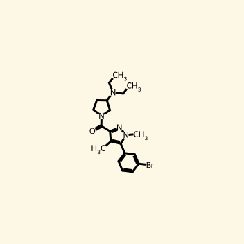 CCN(CC)C1CCN(C(=O)c2nn(C)c(-c3cccc(Br)c3)c2C)C1